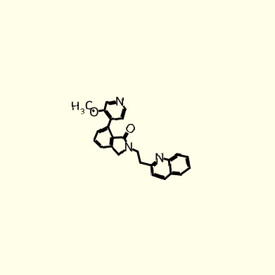 COc1cnccc1-c1cccc2c1C(=O)N(CCc1ccc3ccccc3n1)C2